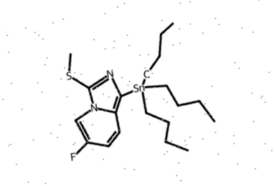 CCC[CH2][Sn]([CH2]CCC)([CH2]CCC)[c]1nc(SC)n2cc(F)ccc12